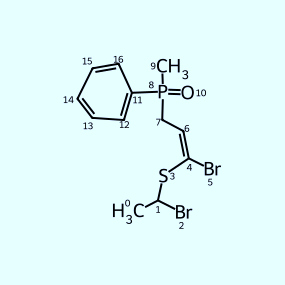 CC(Br)S/C(Br)=C\CP(C)(=O)c1ccccc1